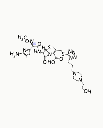 CO/N=C(/C(=O)NC1C(=O)N2C(C(=O)O)=C(CSc3nnnn3CCCN3CCN(CCO)CC3)CS[C@H]12)c1csc(N)n1